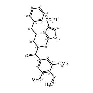 C=Cc1c(OC)cc(C(=O)N(CCCc2ccccc2)Cc2nc(C(=O)OCC)cs2)cc1OC